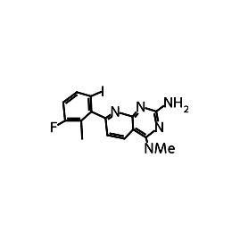 CNc1nc(N)nc2nc(-c3c(I)ccc(F)c3C)ccc12